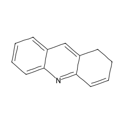 C1=Cc2nc3ccccc3cc2CC1